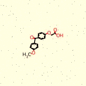 COc1ccc(C(=O)c2ccc(OCC(=O)O)cc2)cc1